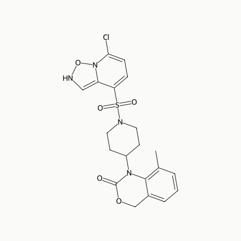 Cc1cccc2c1N(C1CCN(S(=O)(=O)C3=CC=C(Cl)N4ONC=C34)CC1)C(=O)OC2